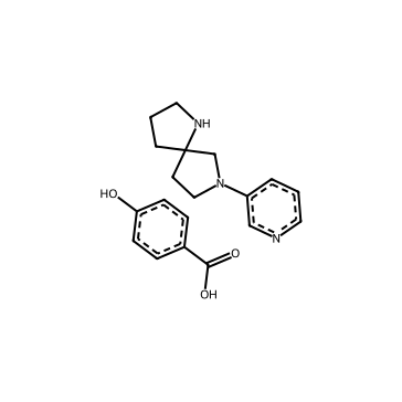 O=C(O)c1ccc(O)cc1.c1cncc(N2CCC3(CCCN3)C2)c1